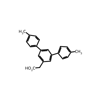 Cc1ccc(-c2cc(CC(=O)O)cc(-c3ccc(C)cc3)c2)cc1